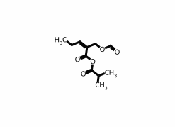 CC/C=C(/CO[C]=O)C(=O)OC(=O)C(C)C